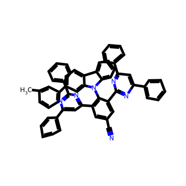 Cc1cccc(-c2ccc3c4ccccc4n(-c4c(-c5cc(-c6ccccc6)nc(-c6ccccc6)n5)cc(C#N)cc4-c4nc(-c5ccccc5)cc(-c5ccccc5)n4)c3c2)c1